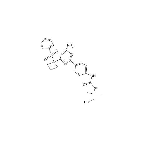 CC(C)(CO)NC(=O)Nc1ccc(-c2nc(N)cc(C3(S(=O)(=O)c4ccccc4)CCC3)n2)cc1